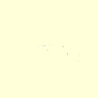 CN1C(=O)C=C[C@]2(C)[C@H]3CC[C@]4(C)[C@@H](NC(=O)Cc5cccc(F)c5)CC[C@H]4[C@@H]3CC[C@@H]12